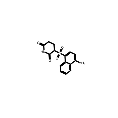 Nc1ccc(S(=O)(=O)C2CCC(=O)NC2=O)c2ccccc12